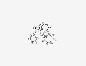 OC1(CCc2ccccc2)CCCCCC1CN1CCCCCC1